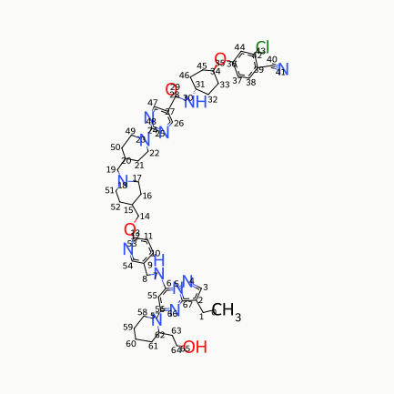 CCc1cnn2c(NCc3ccc(OCC4CCN(CC5CCN(c6ncc(C(=O)N[C@H]7CC[C@H](Oc8ccc(C#N)c(Cl)c8)CC7)cn6)CC5)CC4)nc3)cc(N3CCCCC3CCO)nc12